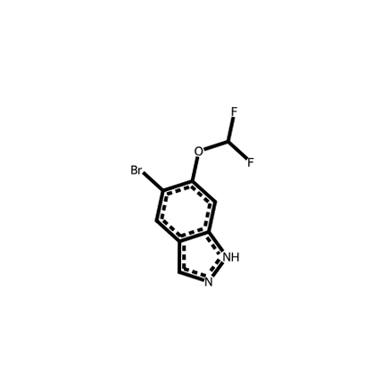 FC(F)Oc1cc2[nH]ncc2cc1Br